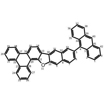 c1ccc2c(-c3ccc4cc5oc6c(ccc7c8ccccc8c8ccccc8c76)c5cc4c3)c3ccccc3cc2c1